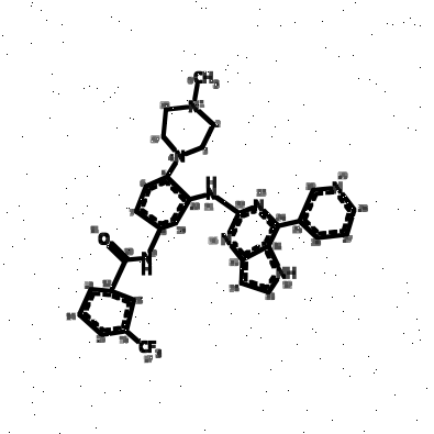 CN1CCN(c2ccc(NC(=O)c3cccc(C(F)(F)F)c3)cc2Nc2nc(-c3cccnc3)c3[nH]ccc3n2)CC1